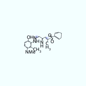 CNc1ccc(O)c(N/N=C\C(=N)/C=C(\C)S(=O)(=O)C2=CCCC=C2)c1C